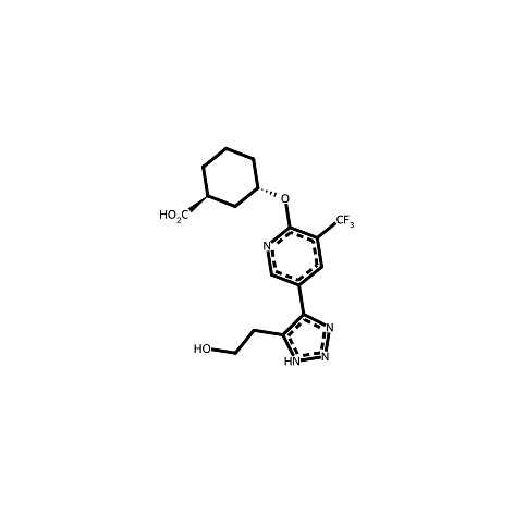 O=C(O)[C@H]1CCC[C@H](Oc2ncc(-c3nn[nH]c3CCO)cc2C(F)(F)F)C1